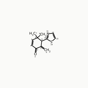 C=C1C(=O)C=CC(C)(C)C1c1nccs1